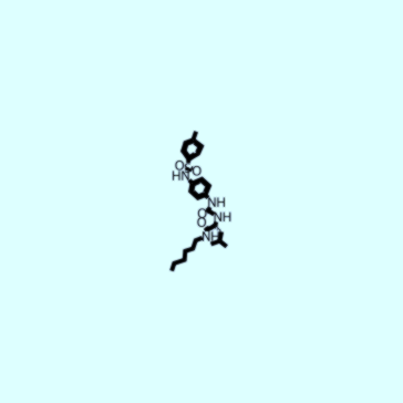 CCCCCCNC(=O)[C@@H](CC(C)C)NC(=O)Nc1ccc(NS(=O)(=O)c2ccc(C)cc2)cc1